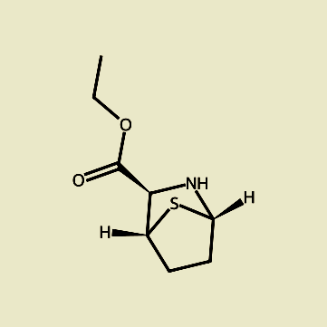 CCOC(=O)[C@H]1N[C@@H]2CC[C@H]1S2